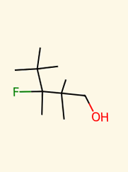 CC(C)(C)C(C)(F)C(C)(C)CO